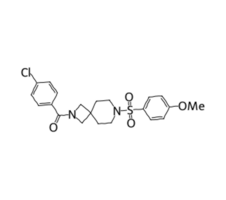 COc1ccc(S(=O)(=O)N2CCC3(CC2)CN(C(=O)c2ccc(Cl)cc2)C3)cc1